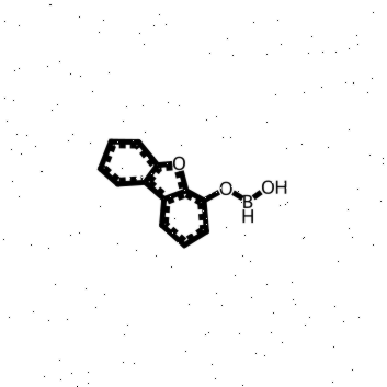 OBOc1cccc2c1oc1ccccc12